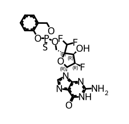 Nc1nc2c(ncn2[C@@H]2O[C@@](COP3(=S)OCc4ccccc4O3)(C(F)F)[C@@H](O)[C@H]2F)c(=O)[nH]1